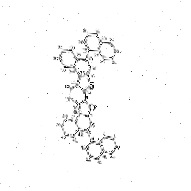 c1ccc2c(-c3cc4oc5c(ccc6c5sc5cc(-c7cccc8ccccc78)c7ccccc7c56)c4c4ccccc34)cccc2c1